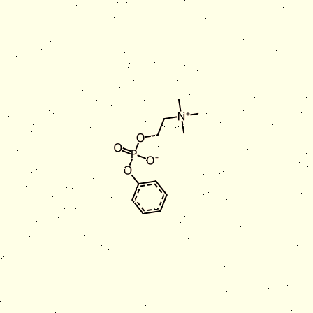 C[N+](C)(C)CCOP(=O)([O-])Oc1ccccc1